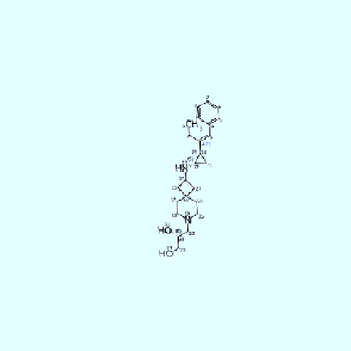 CC/C(=C\c1ccccc1)[C@H]1C[C@@H]1NC1CC2(CCN(C[C@@H](O)CO)CC2)C1